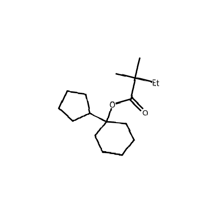 CCC(C)(C)C(=O)OC1(C2CCCC2)CCCCC1